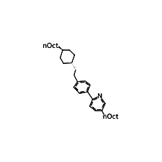 CCCCCCCCc1ccc(-c2ccc(CC[C@H]3CC[C@H](CCCCCCCC)CC3)cc2)nc1